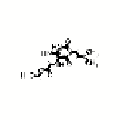 CCOC(=O)CNC1C(=N)NC(=O)N(CCN(C)C)C1=O